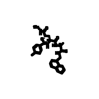 Cc1ccc([S+]([O-])N[C@@H](CCC(=O)NC(C)(C)C)C(=O)N[C@@H](C)C(=S)NCc2cccc3ccccc23)cc1